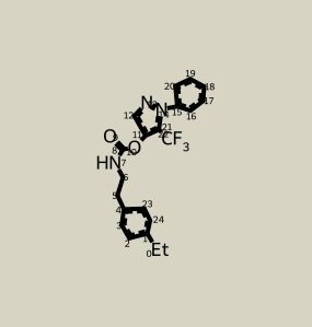 CCc1ccc(CCNC(=O)Oc2cnn(-c3ccccc3)c2C(F)(F)F)cc1